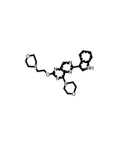 c1ccc2c(-c3ncc4nc(OCCN5CCOCC5)nc(N5CCOCC5)c4n3)c[nH]c2c1